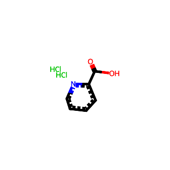 Cl.Cl.O=C(O)c1ccccn1